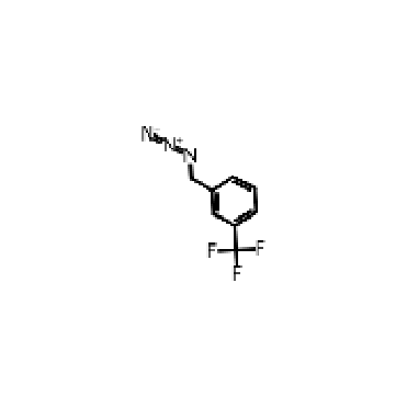 [N-]=[N+]=NCc1cccc(C(F)(F)F)c1